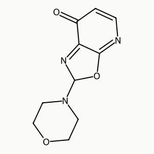 O=C1C=CN=C2OC(N3CCOCC3)N=C12